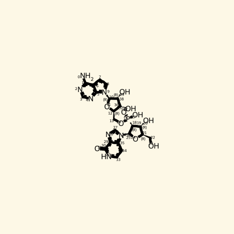 Nc1ncnc2c1ccn2[C@@H]1O[C@H](COP(=O)(O)[C@@H]2[C@H](O)[C@@H](CO)O[C@H]2n2cnc3c(=O)[nH]ccc32)[C@@H](O)[C@H]1O